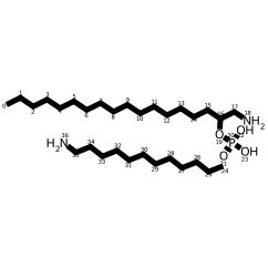 CCCCCCCCCCCCCCCCC(CN)OP(=O)(O)O.CCCCCCCCCCCCN